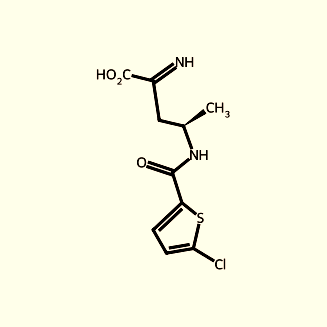 C[C@H](CC(=N)C(=O)O)NC(=O)c1ccc(Cl)s1